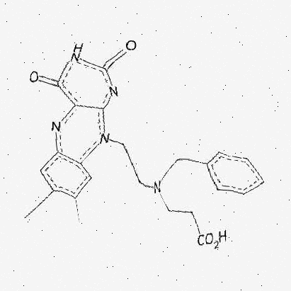 Cc1cc2nc3c(=O)[nH]c(=O)nc-3n(CCN(CCC(=O)O)Cc3ccccc3)c2cc1C